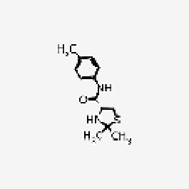 Cc1ccc(NC(=O)[C@@H]2CSC(C)(C)N2)cc1